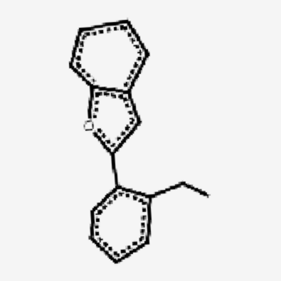 CCc1ccccc1-c1cc2ccccc2o1